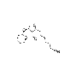 N#CCCCCCCC1OCC(OC2CCCCO2)C1C=O